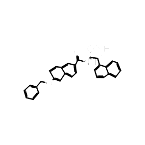 O=C(N[C@@H](Cc1cccc2ccccc12)C(=O)O)c1ccc2cc(OCc3ccccc3)ccc2c1